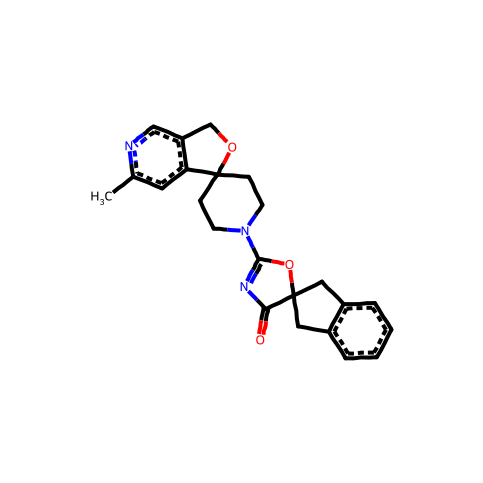 Cc1cc2c(cn1)COC21CCN(C2=NC(=O)C3(Cc4ccccc4C3)O2)CC1